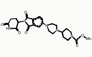 CC(C)(C)OC(=O)N1CCC(N2CCN(c3ccc4c(c3)C(=O)N(C3CCC(=O)NC3=O)C4=O)CC2)CC1